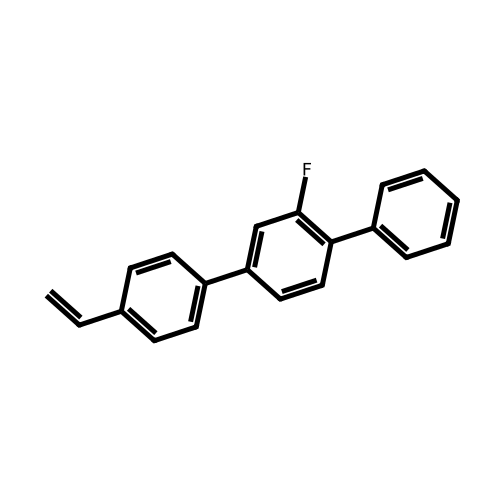 C=Cc1ccc(-c2ccc(-c3ccccc3)c(F)c2)cc1